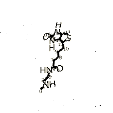 CNCCNC(=O)CCCCC1SCC2NC(=O)NC21